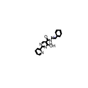 O=C(N/N=C/c1ccccc1)c1cnc(-c2ccccn2)nc1O